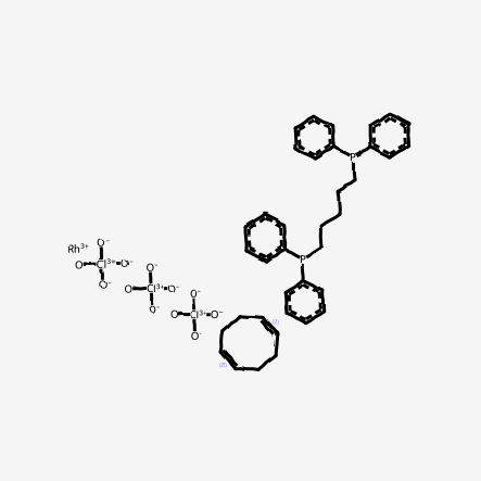 C1=C\CC/C=C\CC/1.[O-][Cl+3]([O-])([O-])[O-].[O-][Cl+3]([O-])([O-])[O-].[O-][Cl+3]([O-])([O-])[O-].[Rh+3].c1ccc(P(CCCCCP(c2ccccc2)c2ccccc2)c2ccccc2)cc1